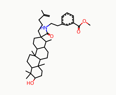 C=C(C)CCCC1(C(=O)NCCc2cccc(C(=O)OC)c2)CCC2C(CCC3C2(C)CCC2C(C)(C)C(O)CCC23C)C1C